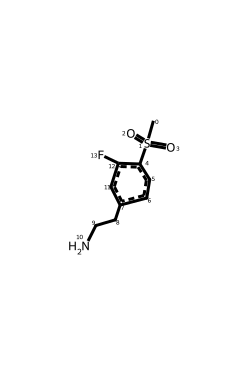 CS(=O)(=O)c1ccc(CCN)cc1F